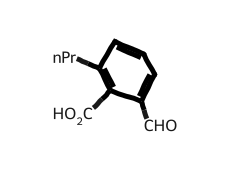 CCCc1cccc(C=O)c1C(=O)O